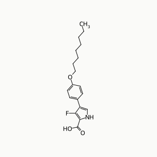 CCCCCCCCOc1ccc(-c2c[nH]c(C(=O)O)c2F)cc1